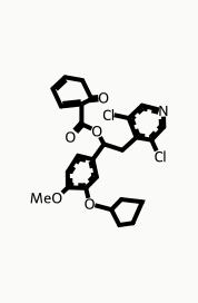 COc1ccc(C(Cc2c(Cl)cncc2Cl)OC(=O)C2=CC=CCC2=O)cc1OC1CCCC1